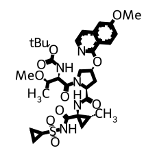 COc1ccc2c(O[C@@H]3C[C@@H](C(=O)N[C@]4(C(=O)NS(=O)(=O)C5CC5)C[C@H]4C)N(C(=O)[C@@H](NC(=O)OC(C)(C)C)[C@@H](C)OC)C3)nccc2c1